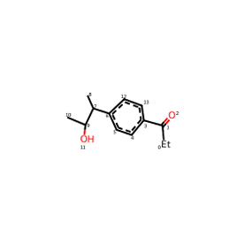 CCC(=O)c1ccc(C(C)C(C)O)cc1